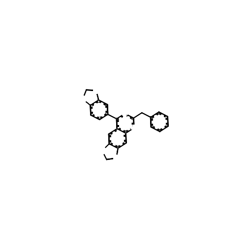 c1ccc(Cc2nc(-c3ccc4c(c3)OCO4)c3cc4c(cc3n2)OCO4)cc1